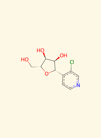 OC[C@H]1O[C@@H](c2ccncc2Cl)[C@H](O)[C@@H]1O